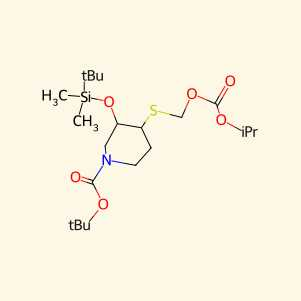 CC(C)OC(=O)OCSC1CCN(C(=O)OC(C)(C)C)CC1O[Si](C)(C)C(C)(C)C